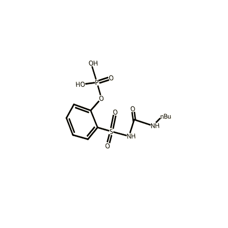 CCCCNC(=O)NS(=O)(=O)c1ccccc1OP(=O)(O)O